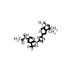 CC(=O)N(C)c1cnc(Nc2nc(-c3cc4c(cn3)N(C)CC4(C)C)ns2)c(C(F)(F)F)c1